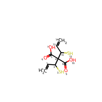 C=CC(S)C(C(=O)O)(C(=O)O)C(S)C=C